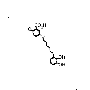 O=C(O)c1cc(OCCCCCCc2cccc(O)c2O)ccc1O